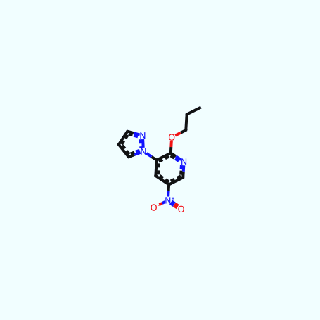 CCCOc1ncc([N+](=O)[O-])cc1-n1cccn1